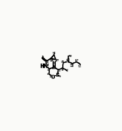 C=C(NC1COSC(C(C)CN(C)CCC)N1)C1CC1